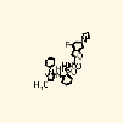 Cc1cc(Nc2ccccc2S(=O)(=O)NC(=O)c2cc3c(F)cc(N4CCC4)cc3o2)n(-c2ccccc2)n1